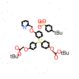 CC(C)(C)OC(=O)COc1ccc([S+](c2ccc(OCC(=O)OC(C)(C)C)cc2)c2cccc(OCc3ccccn3)c2)cc1.CC(C)(C)c1ccc(S(=O)(=O)[O-])cc1